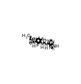 CCCS(=O)(=O)Nc1ccc(F)c(NC(=O)Nc2ncnc3[nH]cnc23)c1F